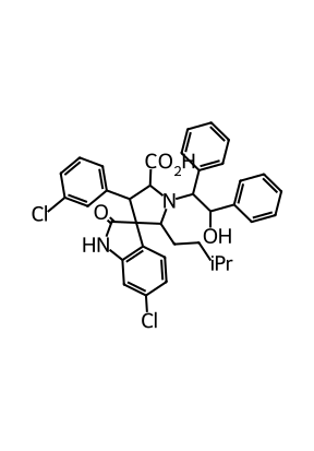 CC(C)CCC1N(C(c2ccccc2)C(O)c2ccccc2)C(C(=O)O)C(c2cccc(Cl)c2)C12C(=O)Nc1cc(Cl)ccc12